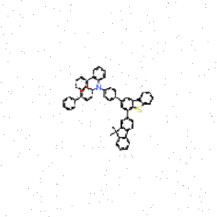 CC1(C)c2ccccc2-c2ccc(-c3cc(-c4ccc(N(c5ccc(-c6ccccc6)cc5)c5ccccc5-c5ccccc5)cc4)cc4c3sc3ccccc34)cc21